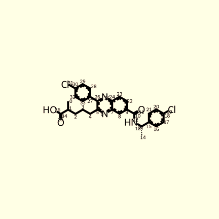 CC(CCCc1nc2cc(C(=O)N[C@@H](C)c3ccc(Cl)cc3)ccc2nc1-c1ccc(Cl)cc1)C(=O)O